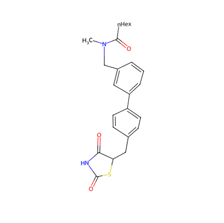 CCCCCCC(=O)N(C)Cc1cccc(-c2ccc(CC3SC(=O)NC3=O)cc2)c1